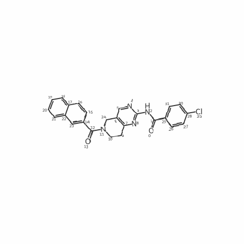 O=C(Nc1ncc2c(n1)CCN(C(=O)c1ccc3ccccc3c1)C2)c1ccc(Cl)cc1